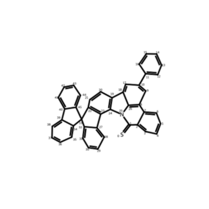 S=c1c2ccccc2c2cc(-c3ccccc3)cc3c4ccc5c(c4n1c23)-c1ccccc1C51c2ccccc2-c2ccccc21